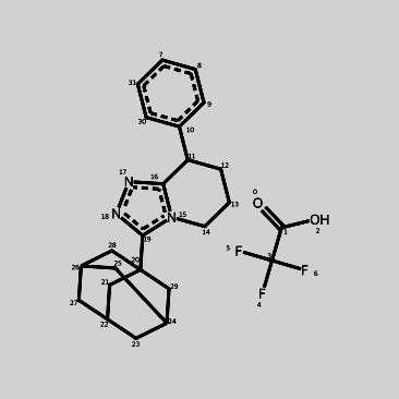 O=C(O)C(F)(F)F.c1ccc(C2CCCn3c2nnc3C23CC4CC(CC(C4)C2)C3)cc1